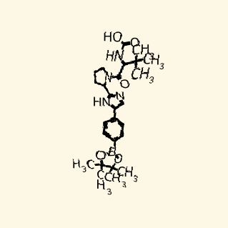 CC(C)(C)C(NC(=O)O)C(=O)N1CCCC1c1ncc(-c2ccc(B3OC(C)(C)C(C)(C)O3)cc2)[nH]1